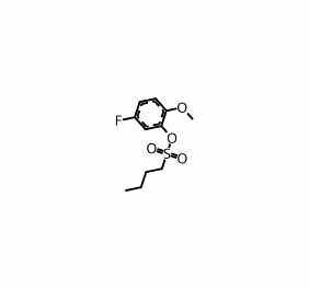 CCCCS(=O)(=O)Oc1cc(F)ccc1OC